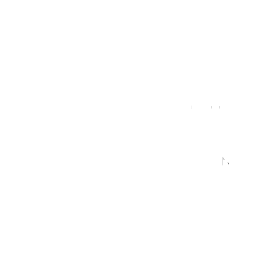 N#CC(C=O)Cc1cccc2ccccc12